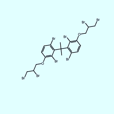 CC(C)(c1c(Br)ccc(OCC(Br)CBr)c1Br)c1c(Br)ccc(OCC(Br)CBr)c1Br